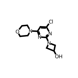 OC1CN(c2nc(Cl)cc(N3CCOCC3)n2)C1